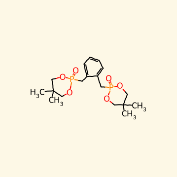 CC1(C)COP(=O)(Cc2ccccc2CP2(=O)OCC(C)(C)CO2)OC1